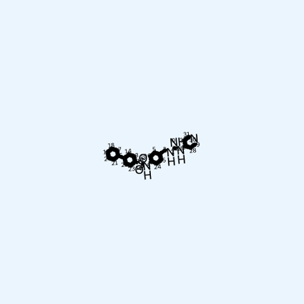 N=C(NCc1ccc(NS(=O)(=O)c2ccc(-c3ccccc3)cc2)cc1)Nc1ccncc1